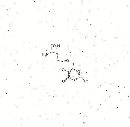 CCc1cc(=O)c(OC(=O)CC[C@H](N)C(=O)O)c(C)o1